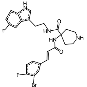 O=C(C=Cc1ccc(F)c(Br)c1)NC1(C(=O)NCCc2c[nH]c3ccc(F)cc23)CCNCC1